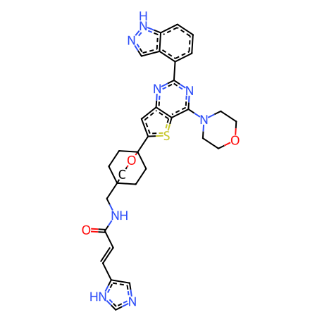 O=C(C=Cc1cnc[nH]1)NCC12CCC(c3cc4nc(-c5cccc6[nH]ncc56)nc(N5CCOCC5)c4s3)(CC1)OC2